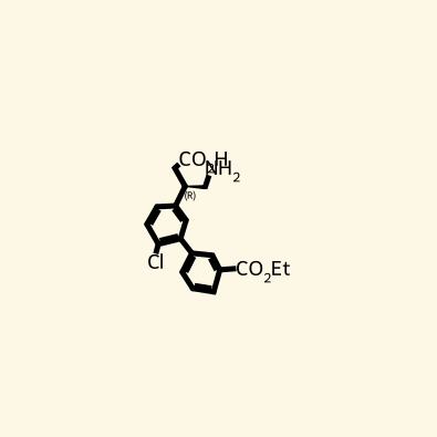 CCOC(=O)c1cccc(-c2cc([C@H](CN)CC(=O)O)ccc2Cl)c1